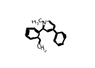 C=Cc1ccccc1-c1cc(-c2ccccc2)cc[n+]1C